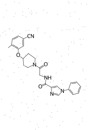 Cc1ccc(C#N)cc1OC1CCN(C(=O)CNC(=O)c2cn(-c3ccccc3)cn2)CC1